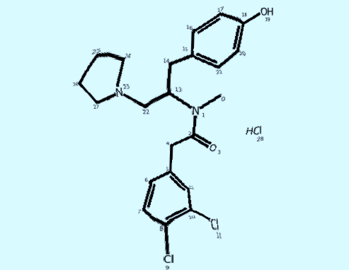 CN(C(=O)Cc1ccc(Cl)c(Cl)c1)C(Cc1ccc(O)cc1)CN1CCCC1.Cl